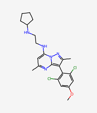 COc1cc(Cl)c(-c2c(C)nn3c(NCCNC4CCCC4)cc(C)nc23)c(Cl)c1